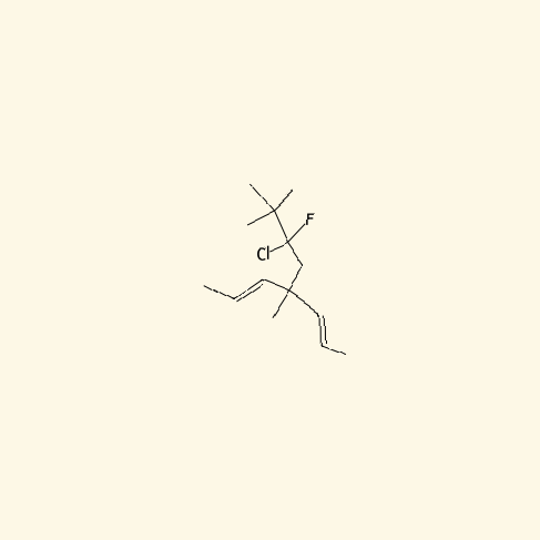 CC=CC(C)(C=CC)CC(F)(Cl)C(C)(C)C